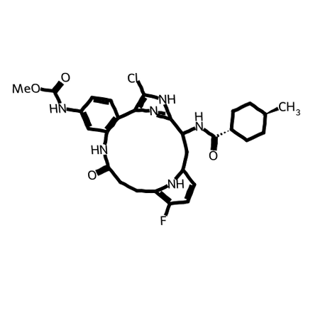 COC(=O)Nc1ccc2c(c1)NC(=O)CCC1=C(F)C=CC(CC(NC(=O)[C@H]3CC[C@H](C)CC3)c3nc-2c(Cl)[nH]3)N1